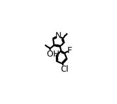 Cc1cc(-c2ccc(Cl)cc2F)c(C(C)O)cn1